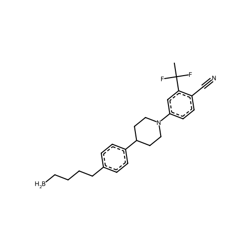 BCCCCc1ccc(C2CCN(c3ccc(C#N)c(C(C)(F)F)c3)CC2)cc1